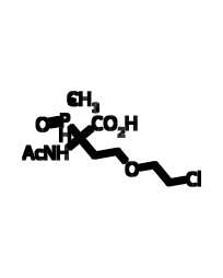 CC(=O)NC(CCOCCCl)(C(=O)O)[PH](C)=O